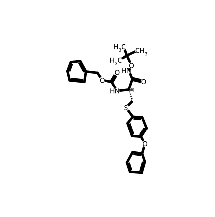 CC(C)(C)ONC(=O)[C@H](CSc1ccc(Oc2ccccc2)cc1)NC(=O)OCc1ccccc1